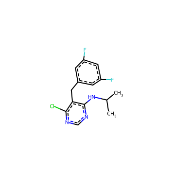 CC(C)Nc1ncnc(Cl)c1Cc1cc(F)cc(F)c1